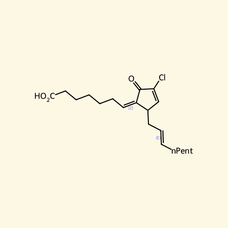 CCCCC/C=C/CC1C=C(Cl)C(=O)/C1=C\CCCCCC(=O)O